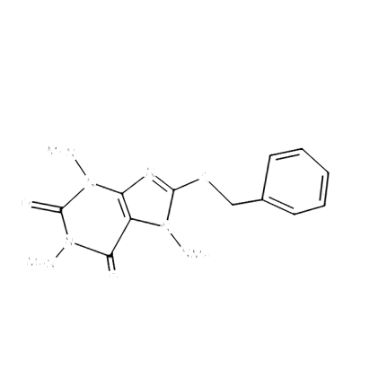 CNn1c(=O)c2c(nc(SCc3ccccc3)n2NC)n(NC)c1=O